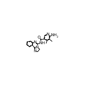 Cc1c(C(=O)NC2=Nc3ccccc3C3=NCCN23)cnc(N)c1C